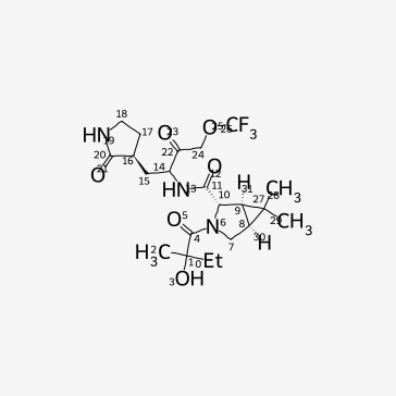 CCC(C)(O)C(=O)N1C[C@H]2[C@@H]([C@H]1C(=O)NC(C[C@@H]1CCNC1=O)C(=O)COC(F)(F)F)C2(C)C